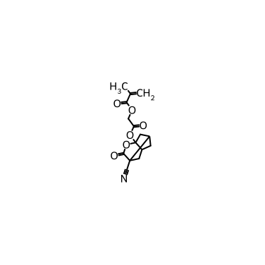 C=C(C)C(=O)OCC(=O)OC12CC3CC1CC3(C#N)C(=O)O2